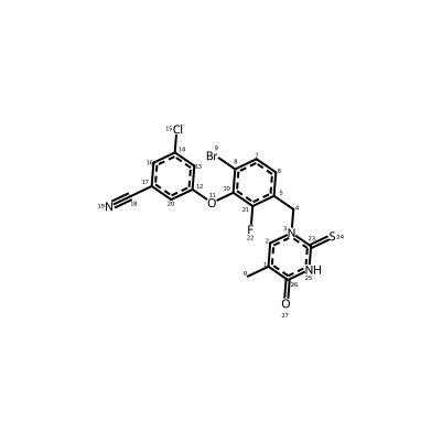 Cc1cn(Cc2ccc(Br)c(Oc3cc(Cl)cc(C#N)c3)c2F)c(=S)[nH]c1=O